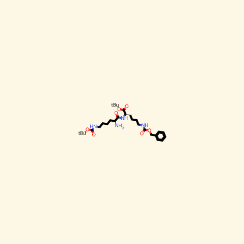 CC(C)(C)OC(=O)NCCCC[C@H](N)C(=O)N[C@@H](CCCCNC(=O)OCc1ccccc1)C(=O)OC(C)(C)C